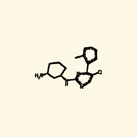 Cc1ccccc1-c1nc(N[C@@H]2CCC[C@H](N)C2)ncc1Cl